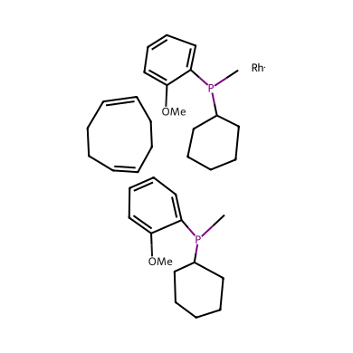 C1=C\CC/C=C\CC/1.COc1ccccc1P(C)C1CCCCC1.COc1ccccc1P(C)C1CCCCC1.[Rh]